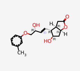 Cc1cccc(OC[C@H](O)/C=C/[C@@H]2[C@H]3CC(=O)O[C@H]3C[C@H]2O)c1